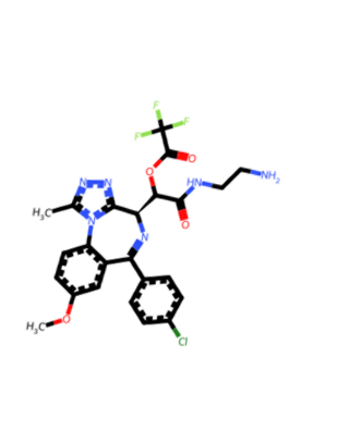 COc1ccc2c(c1)C(c1ccc(Cl)cc1)=N[C@H](C(OC(=O)C(F)(F)F)C(=O)NCCN)c1nnc(C)n1-2